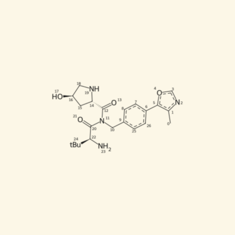 Cc1ncoc1-c1ccc(CN(C(=O)[C@@H]2C[C@@H](O)CN2)C(=O)[C@@H](N)C(C)(C)C)cc1